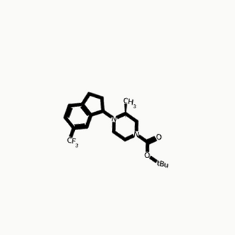 C[C@H]1CN(C(=O)OC(C)(C)C)CCN1C1CCc2ccc(C(F)(F)F)cc21